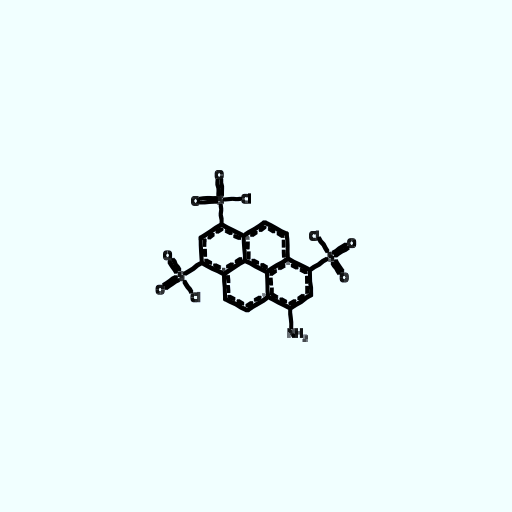 Nc1cc(S(=O)(=O)Cl)c2ccc3c(S(=O)(=O)Cl)cc(S(=O)(=O)Cl)c4ccc1c2c43